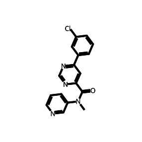 CN(C(=O)c1cc(-c2cccc(Cl)c2)ncn1)c1cccnc1